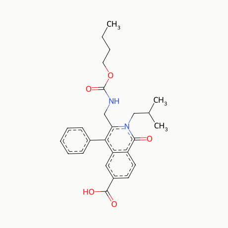 CCCCOC(=O)NCc1c(-c2ccccc2)c2cc(C(=O)O)ccc2c(=O)n1CC(C)C